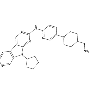 NCC1CCN(c2ccc(Nc3ncc4c5ccncc5n(C5CCCC5)c4n3)nc2)CC1